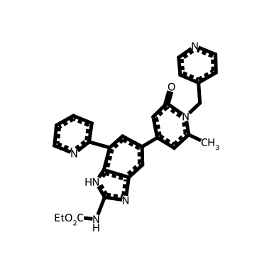 CCOC(=O)Nc1nc2cc(-c3cc(C)n(Cc4ccncc4)c(=O)c3)cc(-c3ccccn3)c2[nH]1